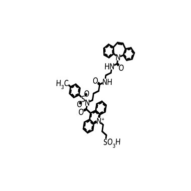 Cc1ccc(S(=O)(=O)N(CCCC(=O)NCCNC(=O)N2c3ccccc3C=Cc3ccccc32)C(=O)c2c3ccccc3[n+](CCCS(=O)(=O)O)c3ccccc23)cc1